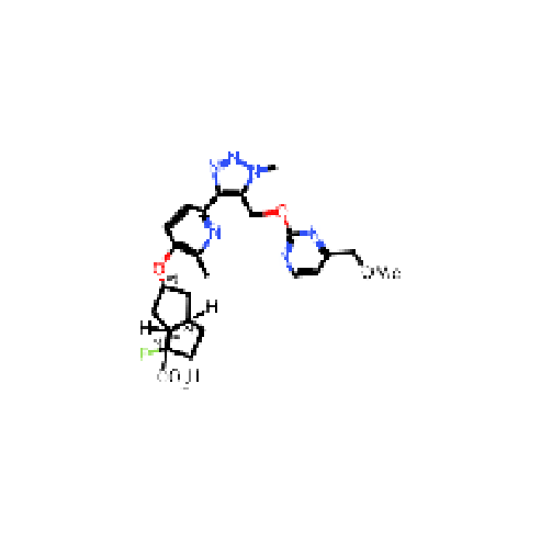 COCc1ccnc(OCc2c(-c3ccc(O[C@@H]4C[C@@H]5CC[C@@](F)(C(=O)O)[C@@H]5C4)c(C)n3)nnn2C)n1